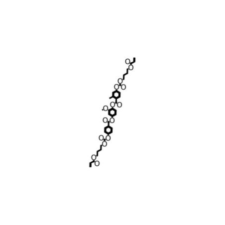 C=CC(=O)OCCCCOC(=O)Oc1ccc(C(=O)Oc2ccc(OC(=O)c3ccc(OC(=O)OCCCCOC(=O)C=C)cc3C)c(OC)c2)cc1